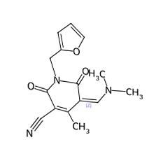 CC1=C(C#N)C(=O)N(Cc2ccco2)C(=O)/C1=C\N(C)C